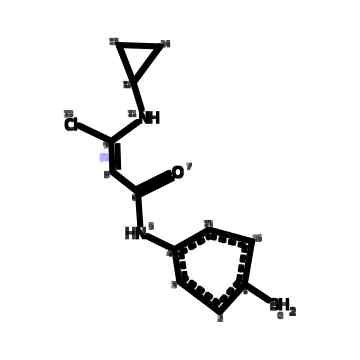 Bc1ccc(NC(=O)/C=C(/Cl)NC2CC2)cc1